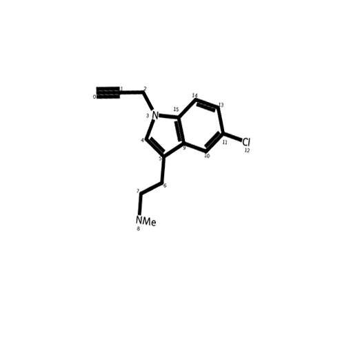 C#CCn1cc(CCNC)c2cc(Cl)ccc21